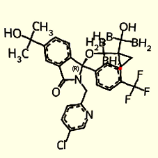 BC(B)(O)C1(C(B)(B)O[C@]2(c3ccc(C(F)(F)F)cc3)c3ccc(C(C)(C)O)cc3C(=O)N2Cc2ccc(Cl)cn2)CC1